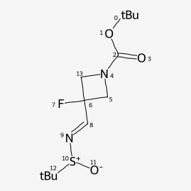 CC(C)(C)OC(=O)N1CC(F)(C=N[S+]([O-])C(C)(C)C)C1